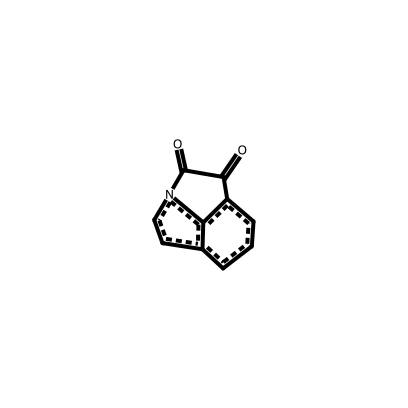 O=C1C(=O)n2ccc3cccc1c32